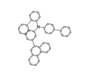 c1ccc(-c2ccc(N(c3cccc(-c4cc5ccccc5c5ccccc45)c3)c3ccccc3-c3ccccc3)cc2)cc1